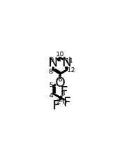 FC(F)(F)/C=C\Oc1cn[c]nc1